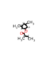 CC=C(C)C(=O)Oc1cc(C)cc(C)c1